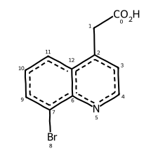 O=C(O)Cc1ccnc2c(Br)cccc12